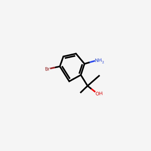 CC(C)(O)c1cc(Br)ccc1N